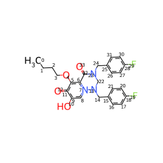 CCCCOc1c2n(cc(O)c1=O)N(Cc1ccc(F)cc1)CN(Cc1ccc(F)cc1)C2=O